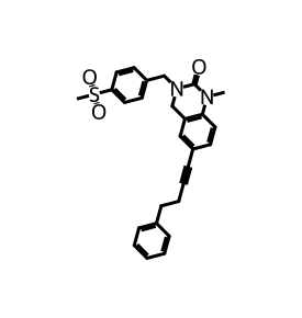 CN1C(=O)N(Cc2ccc(S(C)(=O)=O)cc2)Cc2cc(C#CCCc3ccccc3)ccc21